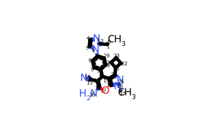 CCc1nccn1-c1ccc(C2C(C#N)=C(N)Oc3c2c(C2CCC2)nn3C)cc1